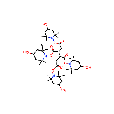 CC1(C)CC(O)CC(C)(C)N1OC(=O)CC(C(=O)ON1C(C)(C)CC(O)CC1(C)C)C(CC(=O)ON1C(C)(C)CC(O)CC1(C)C)C(=O)ON1C(C)(C)CC(O)CC1(C)C